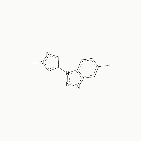 Cn1cc(-n2nnc3cc(I)ccc32)cn1